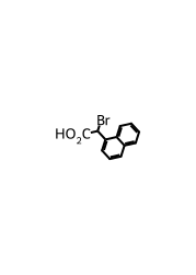 O=C(O)C(Br)c1cccc2ccccc12